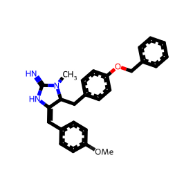 COc1ccc(C=C2NC(=N)N(C)C2Cc2ccc(OCc3ccccc3)cc2)cc1